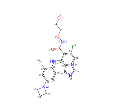 O=C(NOCCO)c1c(F)cn2cncc2c1Nc1ccc(N2CCC2)cc1F